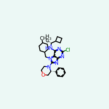 CC1CCC(Cn2c(N3CCOC[C@H]3c3ccccc3)nc3nc(Cl)nc(N[C@H](C)C4CCC4)c32)CC1